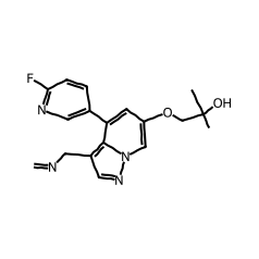 C=NCc1cnn2cc(OCC(C)(C)O)cc(-c3ccc(F)nc3)c12